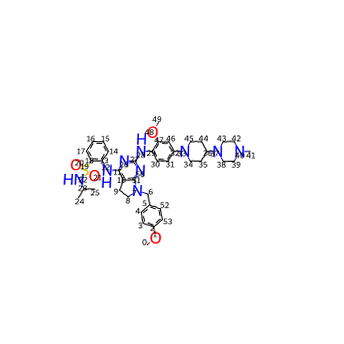 COc1ccc(CN2CCc3c(Nc4ccccc4S(=O)(=O)NC(C)C)nc(Nc4ccc(N5CCC(N6CCN(C)CC6)CC5)cc4OC)nc32)cc1